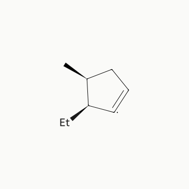 CC[C@@H]1[C]=CC[C@@H]1C